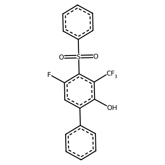 O=S(=O)(c1ccccc1)c1c(F)cc(-c2ccccc2)c(O)c1C(F)(F)F